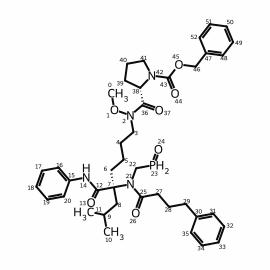 CON(CCCC[C@](CC(C)C)(C(=O)Nc1ccccc1)N(C[PH2]=O)C(=O)CCCc1ccccc1)C(=O)[C@@H]1CCCN1C(=O)OCc1ccccc1